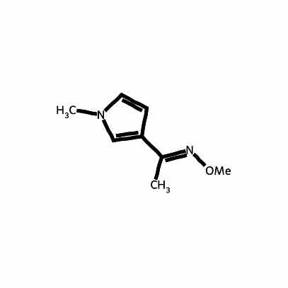 CON=C(C)c1ccn(C)c1